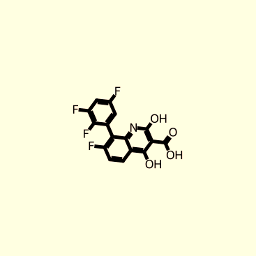 O=C(O)c1c(O)nc2c(-c3cc(F)cc(F)c3F)c(F)ccc2c1O